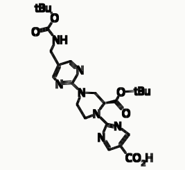 CC(C)(C)OC(=O)NCc1cnc(N2CCN(c3ncc(C(=O)O)cn3)[C@H](C(=O)OC(C)(C)C)C2)nc1